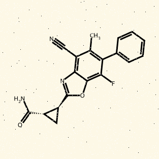 Cc1c(-c2ccccc2)c(F)c2oc([C@H]3C[C@@H]3C(N)=O)nc2c1C#N